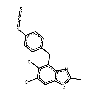 Cc1nc2c(Cc3ccc(N=C=S)cc3)c(Cl)c(Cl)cc2[nH]1